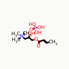 CC=CC(=O)OCC(O)C[N+](C)(C)C.O=P(O)(O)O